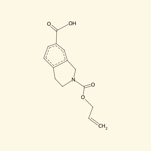 C=CCOC(=O)N1CCc2ccc(C(=O)O)cc2C1